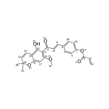 C=CC(=O)Oc1ccc(/C=C/C(=O)c2c(OC)cc3c(c2O)C=CC(C)(C)O3)cc1